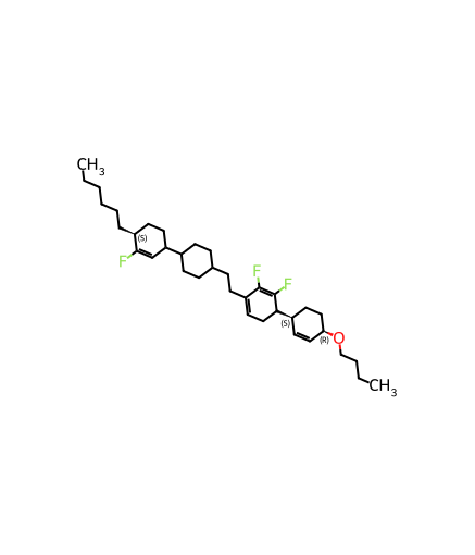 CCCCCC[C@H]1CCC(C2CCC(CCC3=CCC([C@@H]4C=C[C@H](OCCCC)CC4)C(F)=C3F)CC2)C=C1F